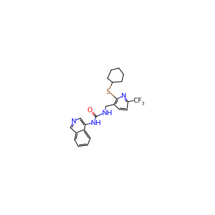 O=C(NCc1ccc(C(F)(F)F)nc1SC1CCCCC1)Nc1cncc2ccccc12